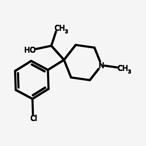 CC(O)C1(c2cccc(Cl)c2)CCN(C)CC1